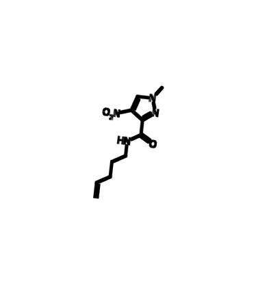 C=CCCCNC(=O)c1nn(C)cc1[N+](=O)[O-]